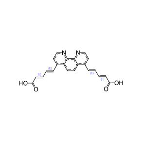 O=C(O)/C=C/C=C/c1ccnc2c1ccc1c(/C=C/C=C/C(=O)O)ccnc12